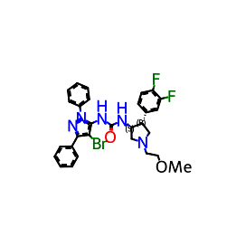 COCCN1C[C@@H](NC(=O)Nc2c(Br)c(-c3ccccc3)nn2-c2ccccc2)[C@H](c2ccc(F)c(F)c2)C1